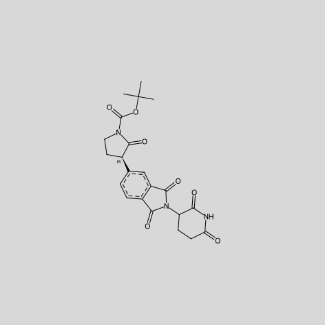 CC(C)(C)OC(=O)N1CC[C@H](c2ccc3c(c2)C(=O)N(C2CCC(=O)NC2=O)C3=O)C1=O